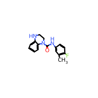 Cc1cc(NC(=O)N2CCNc3ccccc32)ccc1F